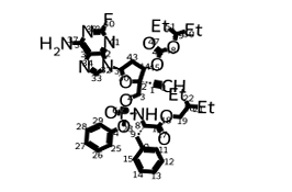 C#C[C@]1(CO[P@@](=O)(N[C@@H](Cc2ccccc2)C(=O)OCC(CC)CC)Oc2ccccc2)O[C@@H](n2cnc3c(N)nc(F)nc32)C[C@@H]1OC(=O)OC(CC)CC